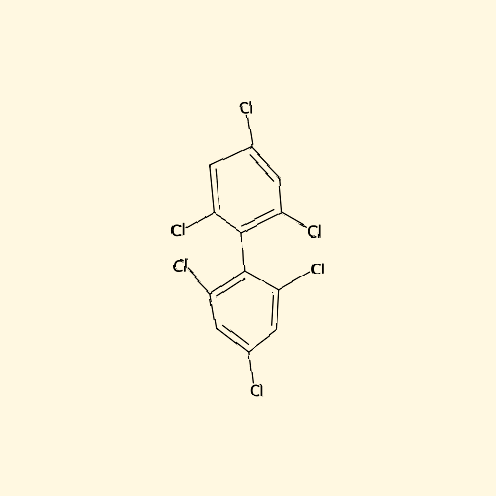 Clc1cc(Cl)c(-c2c(Cl)cc(Cl)cc2Cl)c(Cl)c1